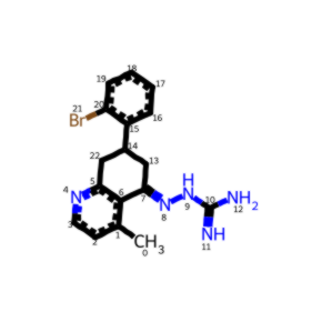 Cc1ccnc2c1C(=NNC(=N)N)CC(c1ccccc1Br)C2